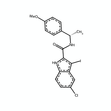 COc1ccc([C@H](C)NC(=O)c2[nH]c3ccc(Cl)cc3c2I)cc1